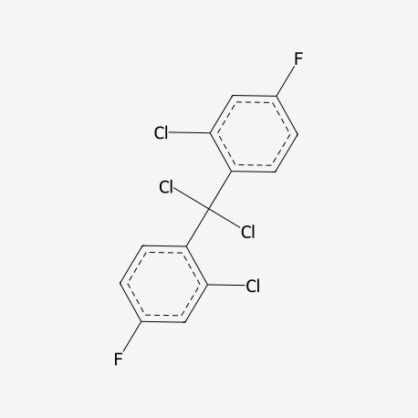 Fc1ccc(C(Cl)(Cl)c2ccc(F)cc2Cl)c(Cl)c1